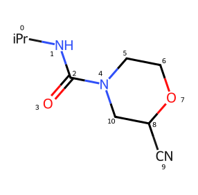 CC(C)NC(=O)N1CCOC(C#N)C1